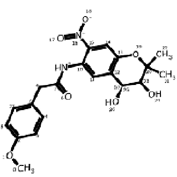 COc1ccc(CC(=O)Nc2cc3c(cc2[N+](=O)[O-])OC(C)(C)C(O)[C@H]3O)cc1